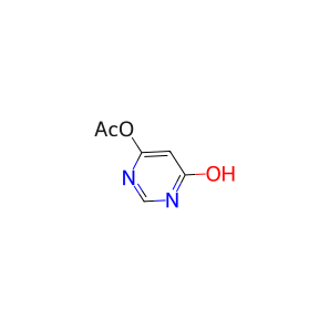 CC(=O)Oc1cc(O)ncn1